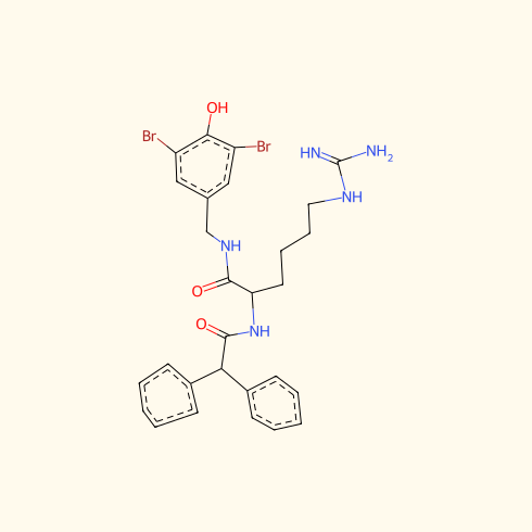 N=C(N)NCCCCC(NC(=O)C(c1ccccc1)c1ccccc1)C(=O)NCc1cc(Br)c(O)c(Br)c1